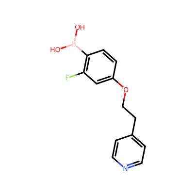 OB(O)c1ccc(OCCc2ccncc2)cc1F